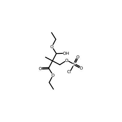 CCOC(=O)C(C)(COS(=O)(=O)Cl)C(O)OCC